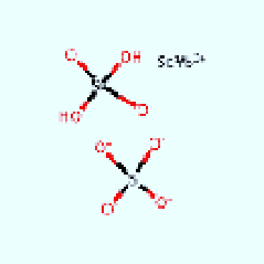 [O-][Si]([O-])(O)O.[O-][Si]([O-])([O-])[O-].[Sc+3].[Yb+3]